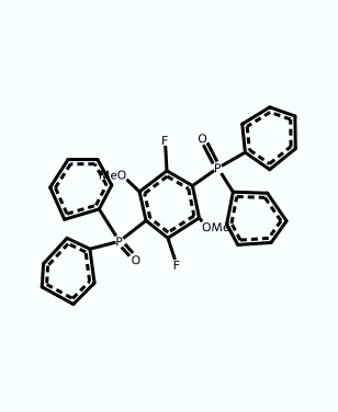 COc1c(F)c(P(=O)(c2ccccc2)c2ccccc2)c(OC)c(F)c1P(=O)(c1ccccc1)c1ccccc1